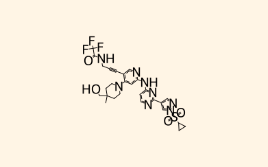 CC1(CO)CCN(c2cc(Nc3ccnc(-c4cnn(S(=O)(=O)C5CC5)c4)n3)ncc2C#CCNC(=O)C(F)(F)F)CC1